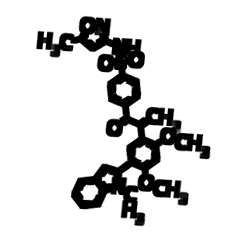 C=C(C(=O)c1ccc(S(=O)(=O)Nc2cc(C)on2)cc1)c1cc(-c2cc3ccccc3n2C)c(OC)cc1OC